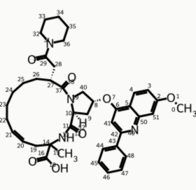 COc1ccc2c(O[C@@H]3C[C@H]4C(=O)NC(C)(C(=O)O)C/C=C\CCCCC[C@H](CC(=O)N5CCCCC5)C(=O)N4C3)cc(-c3ccccc3)nc2c1